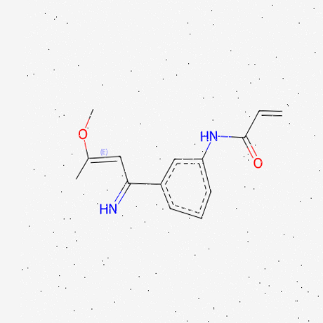 C=CC(=O)Nc1cccc(C(=N)/C=C(\C)OC)c1